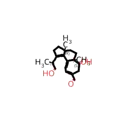 C[C@H](CO)C1=C2C3=CC=C(C=O)C[C@H](O)[C@]3(C)CC[C@@]2(C)CC1